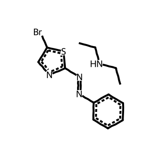 Brc1cnc(N=Nc2ccccc2)s1.CCNCC